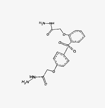 NNC(=O)COc1ccc(S(=O)(=O)c2ccccc2OCC(=O)NN)cc1